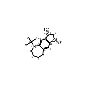 CC(C)(C)N1CCCCc2cc3c(cc21)[S+]([O-])C[S+]3[O-]